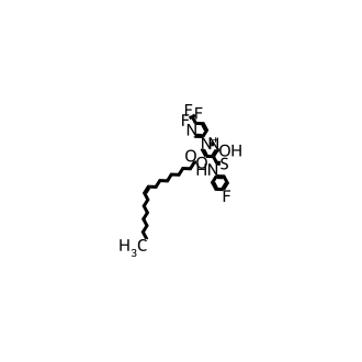 CCCCCCCC/C=C\CCCCCCCC(=O)Oc1c[n+](-c2ccc(C(F)(F)F)nc2)nc(O)c1C(=S)Nc1ccc(F)cc1